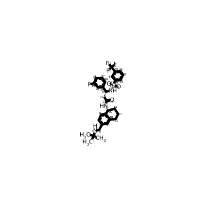 CC(C)(C)NCc1ccc2c(c1)CCC[C@H]2NC(=O)C[C@@H](NS(=O)(=O)c1cccc(C(F)(F)F)c1)c1cccc(F)c1